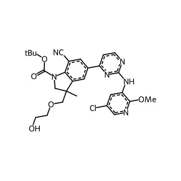 COc1ncc(Cl)cc1Nc1nccc(-c2cc(C#N)c3c(c2)C(C)(COCCO)CN3C(=O)OC(C)(C)C)n1